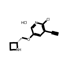 C#Cc1cc(OC[C@H]2CCN2)cnc1Cl.Cl